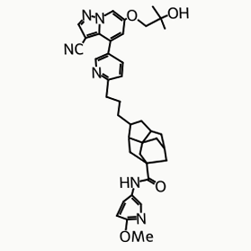 COc1ccc(NC(=O)C23CC4CC5CC(CCCc6ccc(-c7cc(OCC(C)(C)O)cn8ncc(C#N)c78)cn6)C(C2)C5(C4)C3)cn1